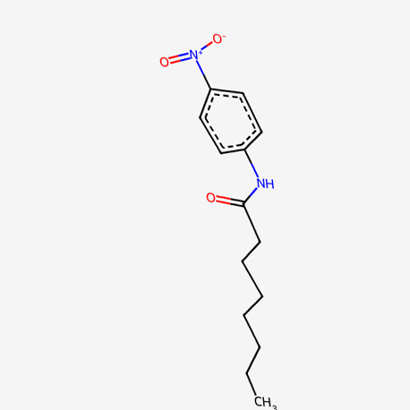 CCCCCCCC(=O)Nc1ccc([N+](=O)[O-])cc1